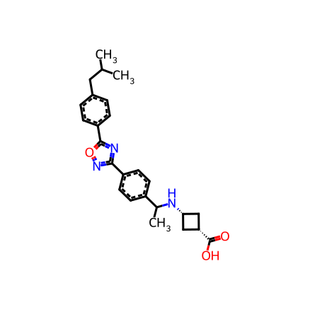 CC(C)Cc1ccc(-c2nc(-c3ccc(C(C)N[C@H]4C[C@@H](C(=O)O)C4)cc3)no2)cc1